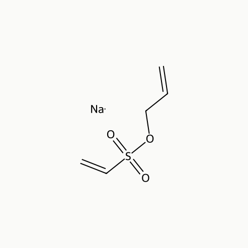 C=CCOS(=O)(=O)C=C.[Na]